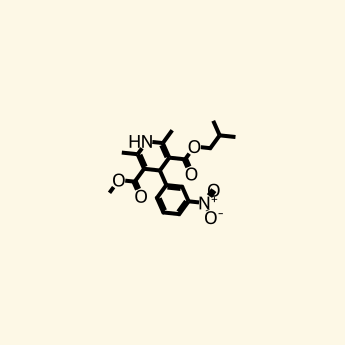 COC(=O)C1=C(C)NC(C)=C(C(=O)OCC(C)C)C1c1cccc([N+](=O)[O-])c1